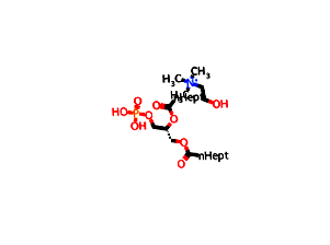 CCCCCCCC(=O)OC[C@H](COP(=O)(O)O)OC(=O)CCCCCCC.C[N+](C)(C)CCO